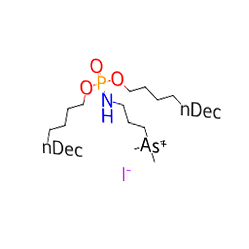 CCCCCCCCCCCCCCOP(=O)(NCCC[As+](C)(C)C)OCCCCCCCCCCCCCC.[I-]